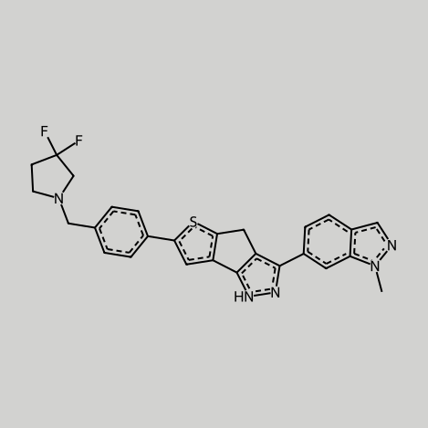 Cn1ncc2ccc(-c3n[nH]c4c3Cc3sc(-c5ccc(CN6CCC(F)(F)C6)cc5)cc3-4)cc21